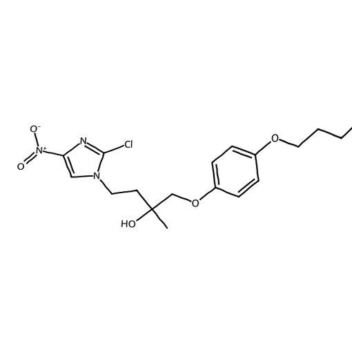 CCCCOc1ccc(OCC(C)(O)CCn2cc([N+](=O)[O-])nc2Cl)cc1